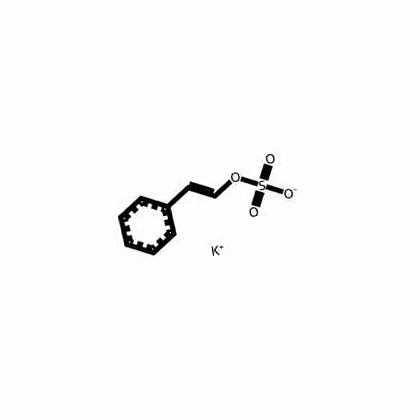 O=S(=O)([O-])OC=Cc1ccccc1.[K+]